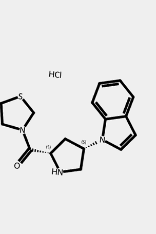 Cl.O=C([C@@H]1C[C@H](n2ccc3ccccc32)CN1)N1CCSC1